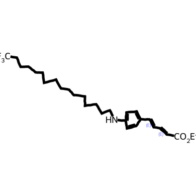 CCOC(=O)/C=C/C=C/c1ccc(NCCCCCCCCCCCCCCCC(F)(F)F)cc1